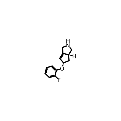 Fc1ccccc1O[C@H]1C=C2CNC[C@@H]2C1